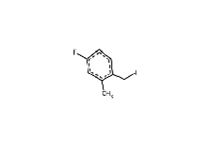 Cc1cc(F)ccc1CI